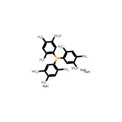 Cc1cc(C)c(S(=O)(=O)O)cc1P(c1cc(S(=O)(=O)O)c(C)cc1C)c1cc(S(=O)(=O)O)c(C)cc1C.[NaH].[NaH].[NaH]